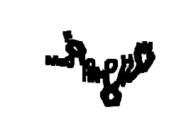 COc1cc(F)ccc1CONC(=O)c1ccccc1NCc1ccncc1